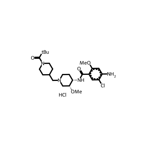 COc1cc(N)c(Cl)cc1C(=O)N[C@H]1CCN(CC2CCN(C(=O)C(C)(C)C)CC2)C[C@H]1OC.Cl